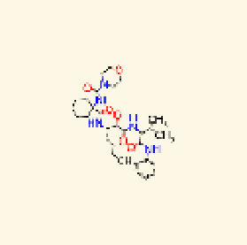 CCCC[C@H](NC(=O)C1(NC(=O)N2CCOCC2)CCCCC1)C(=O)C(=O)N[C@H](C(=O)Nc1ccccc1)C(C)C